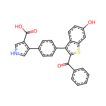 O=C(O)c1c[nH]cc1-c1ccc(-c2c(C(=O)c3ccccc3)sc3cc(O)ccc23)cc1